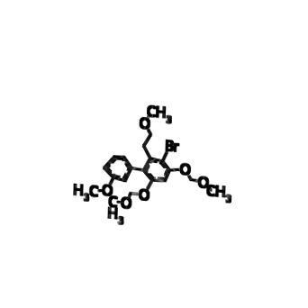 COCCc1c(Br)c(OCOC)cc(OCOC)c1-c1cccc(OC)c1